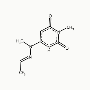 CN(/N=C/C(F)(F)F)c1cc(=O)n(C)c(=O)[nH]1